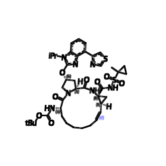 CC(C)n1c(O[C@@H]2C[C@H]3C(=O)N[C@]4(C(=O)NS(=O)(=O)C5(C)CC5)C[C@H]4/C=C\CCCCC[C@H](NC(=O)OC(C)(C)C)C(=O)N3C2)nc2c(-c3cscn3)cccc21